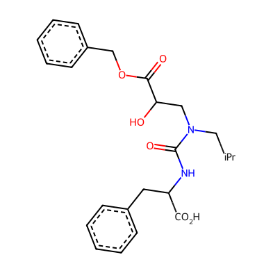 CC(C)CN(CC(O)C(=O)OCc1ccccc1)C(=O)NC(Cc1ccccc1)C(=O)O